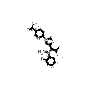 C/C(N)=C(\c1cn(-c2ccc(C(N)=O)cn2)cn1)N(N)c1ccccc1F